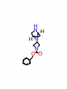 O=C(OCc1ccccc1)N1CC(N2C[C@H]3C[C@@H]2CN3)C1